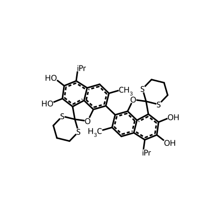 Cc1cc2c(C(C)C)c(O)c(O)c3c2c(c1-c1c(C)cc2c(C(C)C)c(O)c(O)c4c2c1OC41SCCCS1)OC31SCCCS1